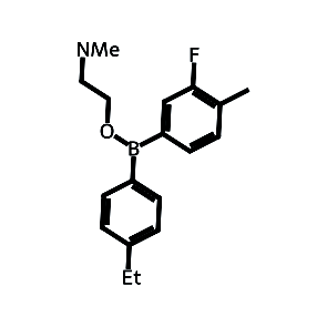 CCc1ccc(B(OCCNC)c2ccc(C)c(F)c2)cc1